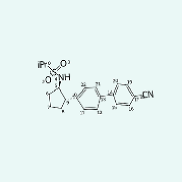 CC(C)S(=O)(=O)N[C@@H]1CCC[C@H]1c1ccc(-c2ccc(C#N)cc2)cc1